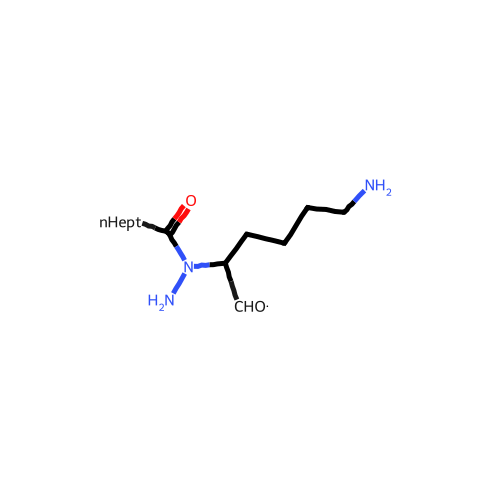 CCCCCCCC(=O)N(N)C([C]=O)CCCCN